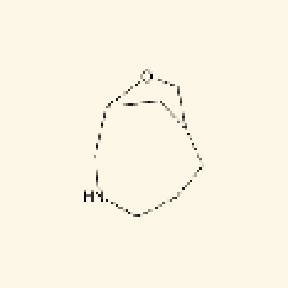 C1CNCC2CC(C1)CO2